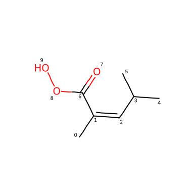 CC(=CC(C)C)C(=O)OO